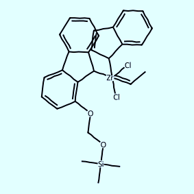 C[CH]=[Zr]([Cl])([Cl])([CH]1C=Cc2ccccc21)[CH]1c2ccccc2-c2cccc(OCO[Si](C)(C)C)c21